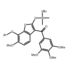 CCCC[Si](C)(C)Oc1oc2c(OC(C)C)c(OC)ccc2c1C(=O)c1cc(OC)c(OC)c(OC)c1